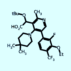 CCOc1c(C(F)(F)F)ccc(-c2cnc(C)c(C(OC(C)(C)C)C(=O)O)c2N2CCC(C)(C)CC2)c1F